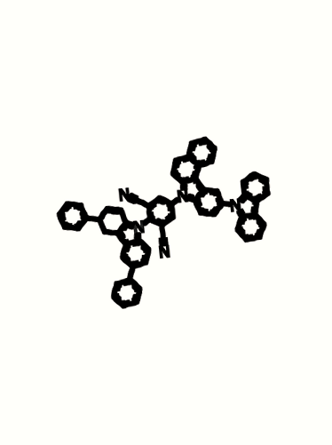 N#Cc1cc(-n2c3ccc(-n4c5ccccc5c5ccccc54)cc3c3c4ccccc4ccc32)cc(C#N)c1-n1c2c(c3cc(-c4ccccc4)ccc31)CC(c1ccccc1)C=C2